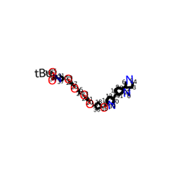 Cn1c2ccncc2c2ccc(-c3ccc(O[C@H]4C[C@H](OCCOCCOCCOC5CN(C(=O)OC(C)(C)C)C5)C4)nc3)cc21